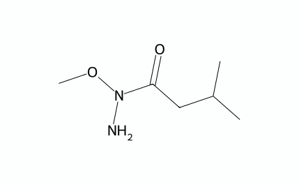 CON(N)C(=O)CC(C)C